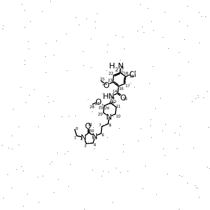 CCN1CCN(CCCN2CC[C@@H](NC(=O)c3cc(Cl)c(N)cc3OC)[C@@H](OC)C2)C1=O